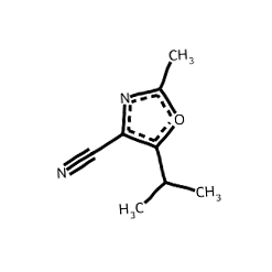 Cc1nc(C#N)c(C(C)C)o1